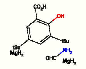 CC(C)(C)c1cc(C(=O)O)c(O)c(C(C)(C)C)c1.NC=O.[MgH2].[MgH2]